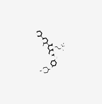 Cc1nc(-c2cccnc2)ccc1-c1cc2cnc(Nc3ccc(OC4CCN(C)CC4)cc3)nc2n(CCN(C)S(C)(=O)=O)c1=O